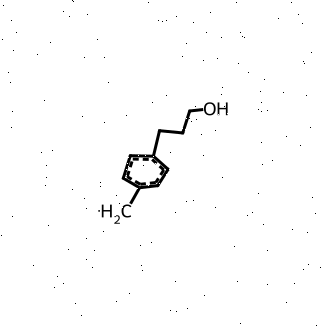 [CH2]c1ccc(CCCO)cc1